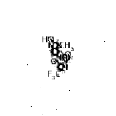 Cc1cc(O)nc2ccc(NC(=O)c3cc(C(F)(F)F)cnc3N3CCOCC3)cc12